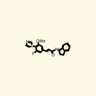 COc1cc(/C=C/C(=O)NC2CCc3ccccc32)cc(F)c1-n1ccnc1